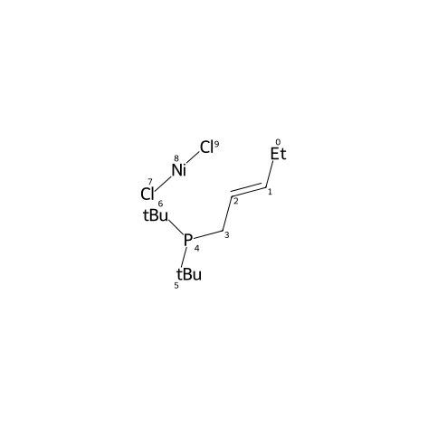 CCC=CCP(C(C)(C)C)C(C)(C)C.[Cl][Ni][Cl]